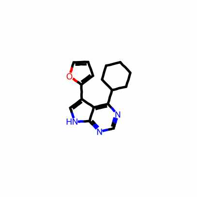 c1coc(-c2c[nH]c3ncnc(C4CCCCC4)c23)c1